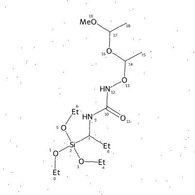 CCO[Si](OCC)(OCC)C(CC)NC(=O)NOC(C)OC(C)OC